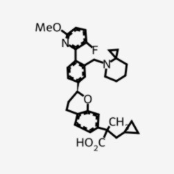 COc1ccc(F)c(-c2ccc([C@@H]3CCc4ccc(C(C)(CC5CC5)C(=O)O)cc4O3)cc2CN2CCCCC23CC3)n1